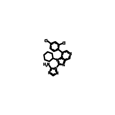 Nc1ncnn1-c1nc2cncc(-c3ccc(Cl)cc3Cl)c2n1C1CCCCC1